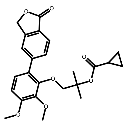 COc1ccc(-c2ccc3c(c2)COC3=O)c(OCC(C)(C)OC(=O)C2CC2)c1OC